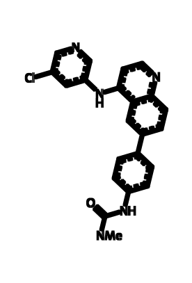 CNC(=O)Nc1ccc(-c2ccc3nccc(Nc4cncc(Cl)c4)c3c2)cc1